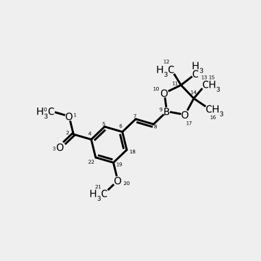 COC(=O)c1cc(/C=C/B2OC(C)(C)C(C)(C)O2)cc(OC)c1